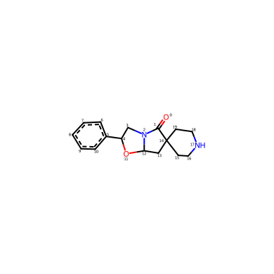 O=C1N2CC(c3ccccc3)OC2CC12CCNCC2